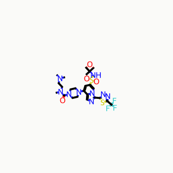 CN(C)CCN(C)C(=O)N1CCN(c2cc(S(=O)(=O)NC3(C)COC3)cn3c(-c4nnc(C(F)(F)F)s4)ncc23)CC1